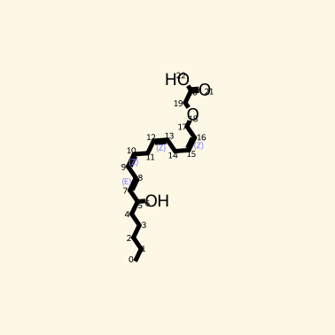 CCCCCC(O)/C=C/C=C\C/C=C\C/C=C\COCC(=O)O